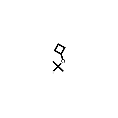 CC(C)(I)OC1CCC1